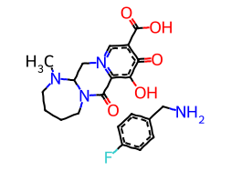 CN1CCCCN2C(=O)c3c(O)c(=O)c(C(=O)O)cn3CC12.NCc1ccc(F)cc1